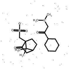 CC1(C)C2CCC1(CS(=O)(=O)[O-])C(=O)C2.C[S+](C)CC(=O)C1CCCCC1